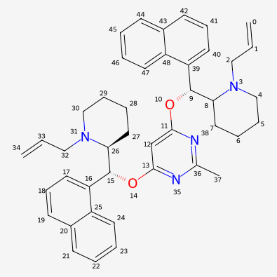 C=CCN1CCCCC1[C@H](Oc1cc(O[C@H](c2cccc3ccccc23)[C@@H]2CCCCN2CC=C)nc(C)n1)c1cccc2ccccc12